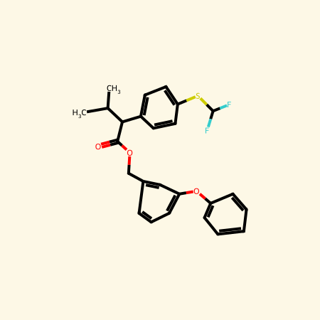 CC(C)C(C(=O)OCc1cccc(Oc2ccccc2)c1)c1ccc(SC(F)F)cc1